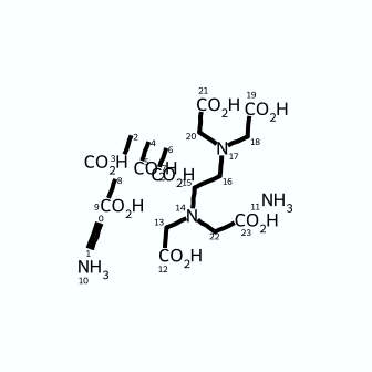 C=C.CC(=O)O.CC(=O)O.CC(=O)O.CC(=O)O.N.N.O=C(O)CN(CCN(CC(=O)O)CC(=O)O)CC(=O)O